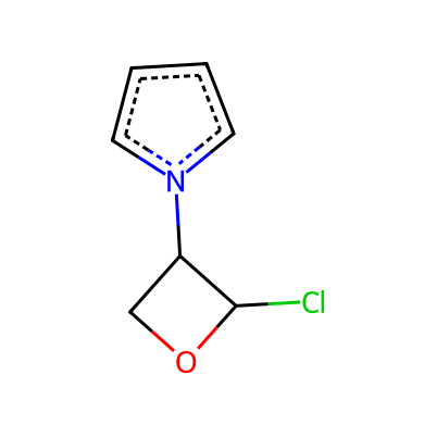 ClC1OCC1n1cccc1